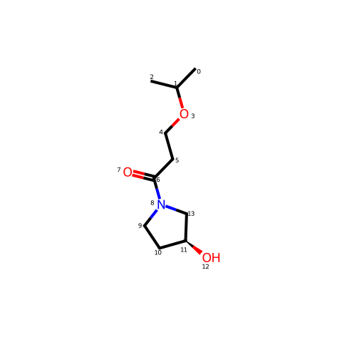 CC(C)OCCC(=O)N1CC[C@H](O)C1